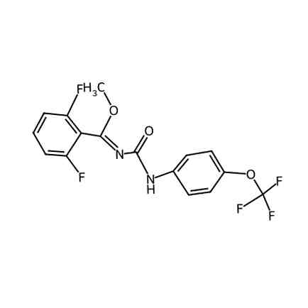 COC(=NC(=O)Nc1ccc(OC(F)(F)F)cc1)c1c(F)cccc1F